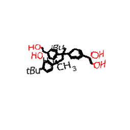 CCC(C)CC(CC(C)(C)c1ccc(C(C)(C)C)cc1)(c1ccc(C(O)CO)cc1)c1ccc(C(O)CO)cc1